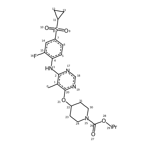 Cc1c(Nc2ccc(S(=O)(=O)C3CC3)cc2F)ncnc1OC1CCN(C(=O)OC(C)C)CC1